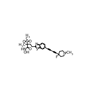 CN1CCC(F)(C#CC#Cc2ccc3nc(CCC(C)(C(=O)NO)S(C)(=O)=O)sc3c2)CC1